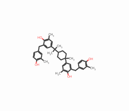 Cc1cc(Cc2cc(C3(C)CCC(C(C)(C)c4cc(C)c(O)c(Cc5ccc(O)c(C)c5)c4)CC3)cc(C)c2O)ccc1O